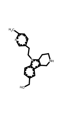 Cc1ccc(CCn2c3c(c4cc(CO)ccc42)CNCC3)cn1